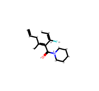 C=CC/C(C)=C(C(=O)N1CCCCC1)\C(F)=C/C